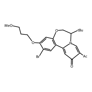 COCCCOc1cc2c(cc1Br)-c1cc(=O)c(C(C)=O)cn1C(C(C)(C)C)CO2